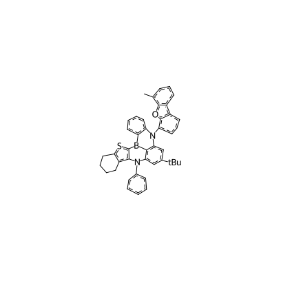 Cc1cccc2c1oc1c(N3c4ccccc4B4c5sc6c(c5N(c5ccccc5)c5cc(C(C)(C)C)cc3c54)CCCC6)cccc12